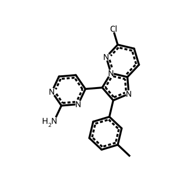 Cc1cccc(-c2nc3ccc(Cl)nn3c2-c2ccnc(N)n2)c1